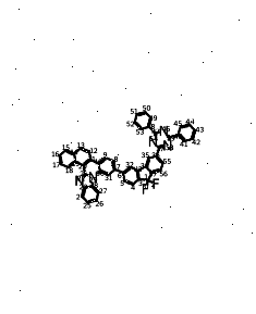 FC1(F)c2ccc(-c3ccc4c5ccc6ccccc6c5c5nc6ccccc6n5c4c3)cc2-c2cc(-c3nc(-c4ccccc4)nc(-c4ccccc4)n3)ccc21